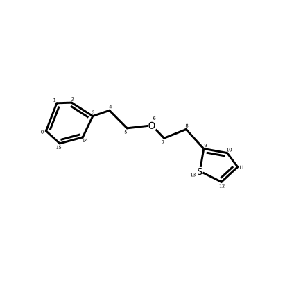 c1ccc(CCOCCc2cccs2)cc1